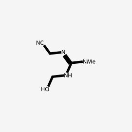 CNC(=NCC#N)NCO